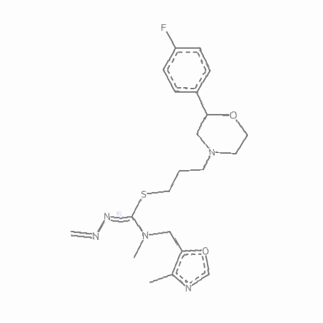 C=N/N=C(/SCCCN1CCOC(c2ccc(F)cc2)C1)N(C)Cc1ocnc1C